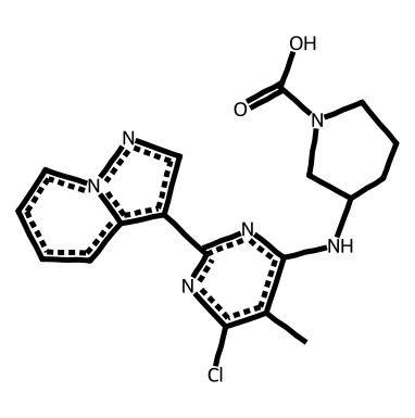 Cc1c(Cl)nc(-c2cnn3ccccc23)nc1NC1CCCN(C(=O)O)C1